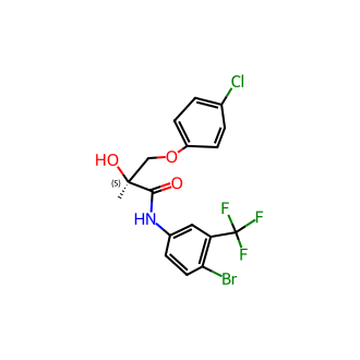 C[C@](O)(COc1ccc(Cl)cc1)C(=O)Nc1ccc(Br)c(C(F)(F)F)c1